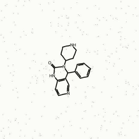 O=C1Nc2ccncc2C(c2ccccc2)N1C1CCNCC1